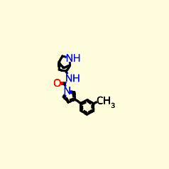 Cc1cccc(-c2ccn(C(=O)NC3CC4CNC3C4)c2)c1